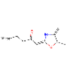 C=C1N/C(=C\C(=O)CCCCCCCCC)OC1C